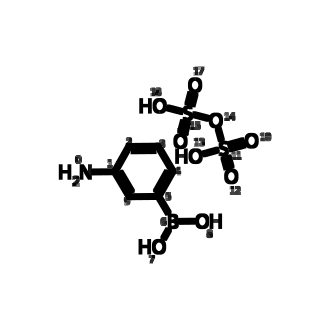 Nc1cccc(B(O)O)c1.O=S(=O)(O)OS(=O)(=O)O